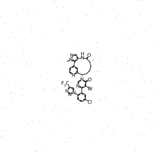 C[C@@H]1CCC[C@H](n2cnc(-c3cc(Cl)ccc3-n3cc(C(F)(F)F)nn3)c(Br)c2=O)c2cc(ccn2)-c2c(cnn2C)NC1=O